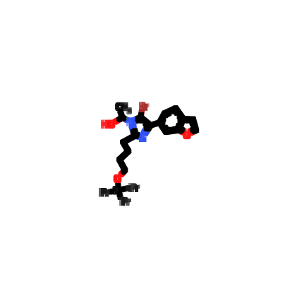 CC(O)n1c(CCCCO[Si](C(C)C)(C(C)C)C(C)C)nc(-c2ccc3ccoc3c2)c1Br